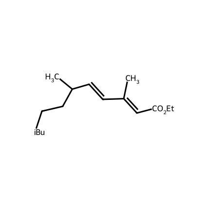 CCOC(=O)/C=C(C)/C=C/C(C)CCC(C)CC